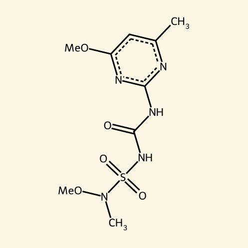 COc1cc(C)nc(NC(=O)NS(=O)(=O)N(C)OC)n1